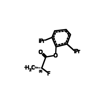 [CH2][C@@H](F)C(=O)Oc1c(C(C)C)cccc1C(C)C